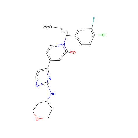 COC[C@H](c1ccc(Cl)c(F)c1)n1ccc(-c2ccnc(NC3CCOCC3)n2)cc1=O